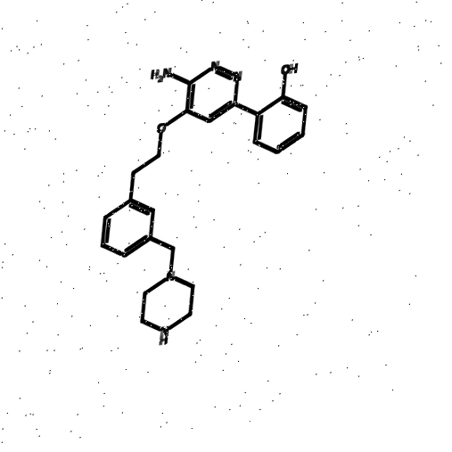 Nc1nnc(-c2ccccc2O)cc1OCCc1cccc(CN2CCNCC2)c1